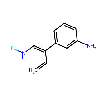 C=C/C(=C\NF)c1cccc(N)c1